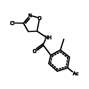 CC(=O)c1ccc(C(=O)NC2CC(Cl)=NO2)c(C)c1